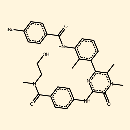 Cc1c(NC(=O)c2ccc(C(C)(C)C)cc2)cccc1-c1nc(Nc2ccc(C(=O)N(C)CCO)cc2)c(=O)n(C)c1C